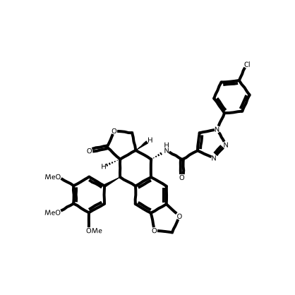 COc1cc([C@@H]2c3cc4c(cc3[C@@H](NC(=O)c3cn(-c5ccc(Cl)cc5)nn3)[C@H]3COC(=O)[C@H]23)OCO4)cc(OC)c1OC